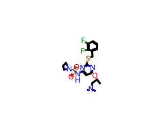 CC(CN(C)C)Oc1cc(NS(=O)(=O)N2CCC2)nc(SCc2cccc(F)c2F)n1